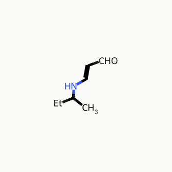 CCC(C)NC=CC=O